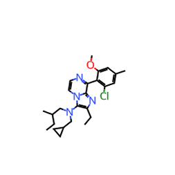 CCc1nc2c(-c3c(Cl)cc(C)cc3OC)nccn2c1N(CC(C)CC)CC1CC1